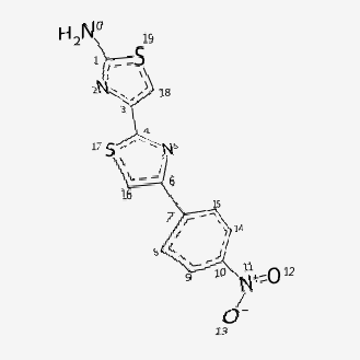 Nc1nc(-c2nc(-c3ccc([N+](=O)[O-])cc3)cs2)cs1